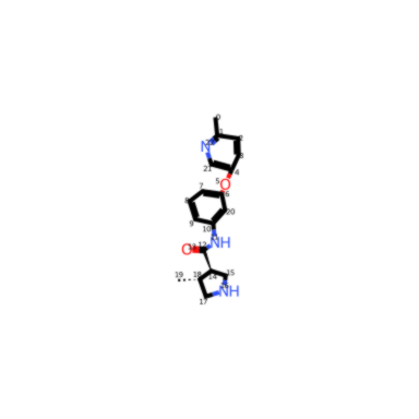 Cc1ccc(Oc2cccc(NC(=O)[C@H]3CNC[C@@H]3C)c2)cn1